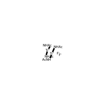 CC(=O)[NH][Ti+][NH]C(C)=O.CC(=O)[NH][Ti+][NH]C(C)=O.[F-].[F-]